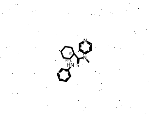 CNC(=S)[C@]1(c2cccnc2)CCCC[C@H]1Nc1ccccc1